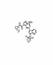 CNc1cc(-c2cn([C@@H]3[C@@H]4COC[C@@H]43)c3ncccc23)nc2c(C(=O)N[C@@H]3CC[C@H]3OC)cnn12